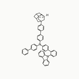 c1ccc(-c2ccc(N(c3ccc(-c4ccc(C56CC7CC8C[C@@H](C5)C[C@]87C6)cc4)cc3)c3ccc(-c4ccccc4-n4c5ccccc5c5ccccc54)cc3)cc2)cc1